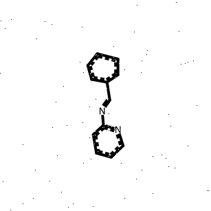 C(=Nc1ccccn1)c1ccccc1